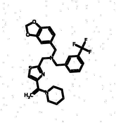 C=C(c1csc(CN(Cc2cccc(C(F)(F)F)c2)Cc2ccc3c(c2)OCO3)n1)N1CCCCC1